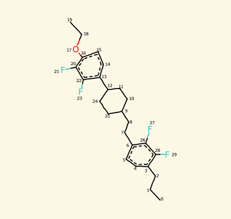 CCCc1ccc(CCC2CCC(c3ccc(OCC)c(F)c3F)CC2)c(F)c1F